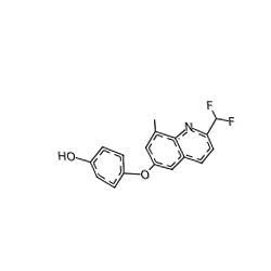 Cc1cc(Oc2ccc(O)cc2)cc2ccc(C(F)F)nc12